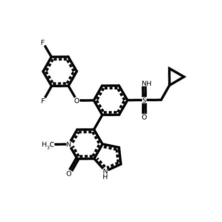 Cn1cc(-c2cc(S(=N)(=O)CC3CC3)ccc2Oc2ccc(F)cc2F)c2cc[nH]c2c1=O